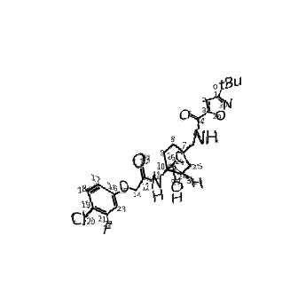 CC(C)(C)c1cc(C(=O)NC23CCC(NC(=O)COc4ccc(Cl)c(F)c4)(CC2)[C@@H](O)C3)on1